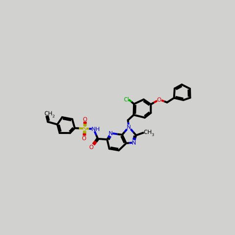 C=Cc1ccc(S(=O)(=O)NC(=O)c2ccc3nc(C)n(Cc4ccc(OCc5ccccc5)cc4Cl)c3n2)cc1